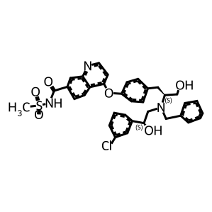 CS(=O)(=O)NC(=O)c1ccc2c(Oc3ccc(C[C@@H](CO)N(Cc4ccccc4)C[C@@H](O)c4cccc(Cl)c4)cc3)ccnc2c1